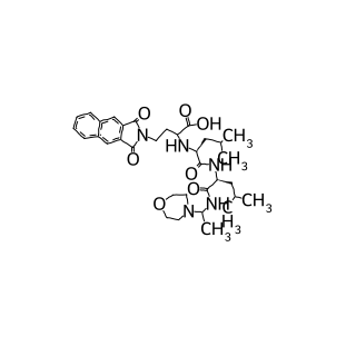 CC(C)C[C@H](NC(=O)[C@H](CC(C)C)NC(CCN1C(=O)c2cc3ccccc3cc2C1=O)C(=O)O)C(=O)NC(C)N1CCOCC1